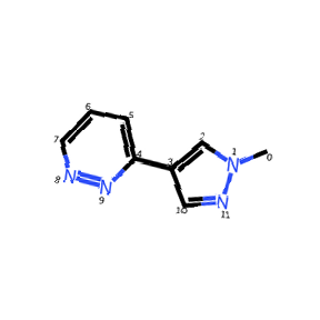 Cn1cc(-c2cccnn2)cn1